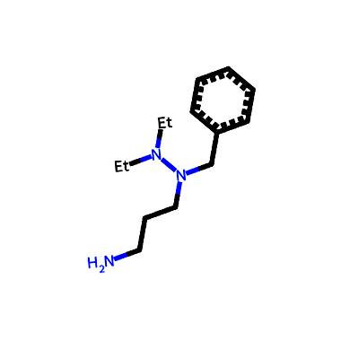 CCN(CC)N(CCCN)Cc1ccccc1